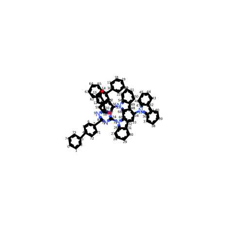 c1ccc(-c2ccc(-c3nc(-c4cccc(-c5ccccc5)c4)nc(-n4c5ccccc5c5cc(-n6c7ccccc7c7ccccc76)c6c7ccccc7n(-c7cccc(-c8ccccc8)c7)c6c54)n3)cc2)cc1